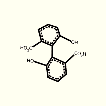 O=C(O)c1cccc(O)c1-c1c(O)cccc1C(=O)O